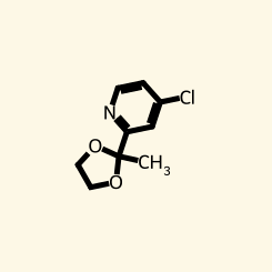 CC1(c2cc(Cl)ccn2)OCCO1